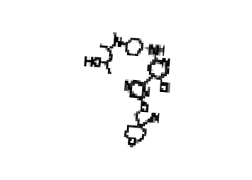 CC(O)C[C@@H](C)N(C)[C@H]1CC[C@H](Nc2cc(-c3cncc(OCC4(C#N)CCOCC4)n3)c(Cl)cn2)CC1